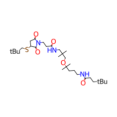 CC(C)(C)CCC(=O)NCCCC(C)(C)OCC(C)(C)CNC(=O)CCN1C(=O)CC(SCC(C)(C)C)C1=O